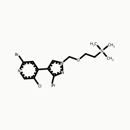 CC(C)c1nn(COCC[Si](C)(C)C)cc1-c1cc(Br)ncc1Cl